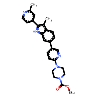 Cc1cc(-c2[nH]c3cc(-c4ccc(N5CCN(C(=O)OC(C)(C)C)CC5)nc4)ccc3c2C)ccn1